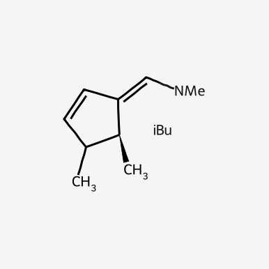 CC[C@H](C)[C@@]1(C)/C(=C\NC)C=CC1C